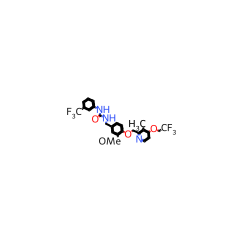 COc1cc(CNC(=O)Nc2cccc(C(F)(F)F)c2)ccc1OCc1nccc(OCC(F)(F)F)c1C